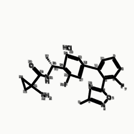 Cc1noc(-c2c(F)cccc2-c2ccc([C@@H](C)NC(=O)C3(N)CC3)c(F)c2)n1.Cl